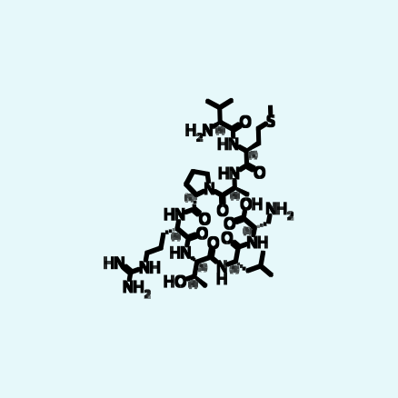 CSCC[C@H](NC(=O)[C@@H](N)C(C)C)C(=O)N[C@@H](C)C(=O)N1CCC[C@H]1C(=O)N[C@@H](CCCNC(=N)N)C(=O)N[C@H](C(=O)N[C@@H](CC(C)C)C(=O)N[C@@H](CN)C(=O)O)[C@@H](C)O